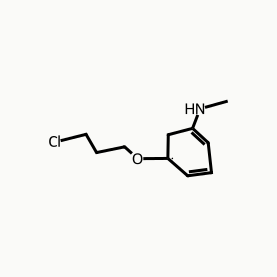 CNC1=CC=C[C](OCCCCl)C1